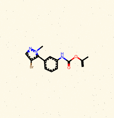 C=C(C)OC(=O)Nc1cccc(-c2c(Br)cnn2C)c1